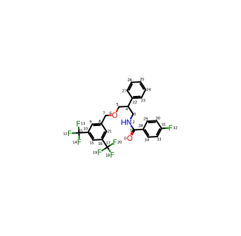 O=C(NCC(COCc1cc(C(F)(F)F)cc(C(F)(F)F)c1)c1ccccc1)c1ccc(F)cc1